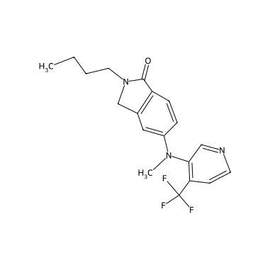 CCCCN1Cc2cc(N(C)c3cnccc3C(F)(F)F)ccc2C1=O